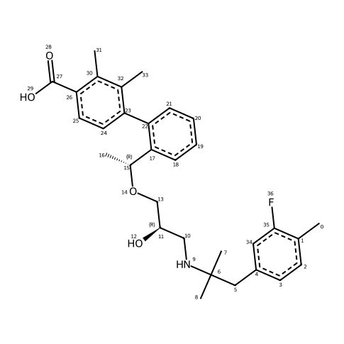 Cc1ccc(CC(C)(C)NC[C@@H](O)CO[C@H](C)c2ccccc2-c2ccc(C(=O)O)c(C)c2C)cc1F